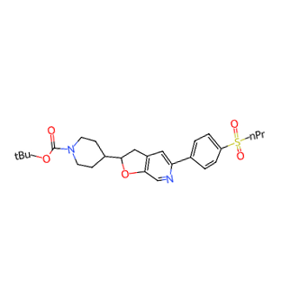 CCCS(=O)(=O)c1ccc(-c2cc3c(cn2)OC(C2CCN(C(=O)OC(C)(C)C)CC2)C3)cc1